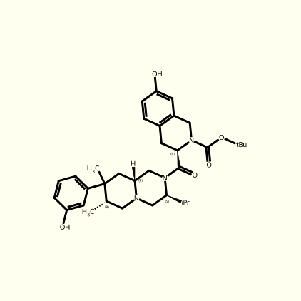 CC(C)[C@H]1CN2C[C@H](C)C(C)(c3cccc(O)c3)C[C@@H]2CN1C(=O)[C@H]1Cc2ccc(O)cc2CN1C(=O)OC(C)(C)C